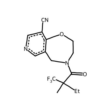 CCC(C)(C(=O)N1CCOc2c(C#N)cncc2C1)C(F)(F)F